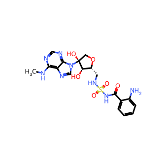 CNc1ncnc2c1ncn2[C@]1(O)CO[C@H](CNS(=O)(=O)NC(=O)c2ccccc2N)[C@H]1O